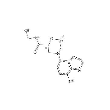 C[C@@H]1CN(c2ccc(C#N)c3ncccc23)C[C@H](C(=O)NCC#N)O1